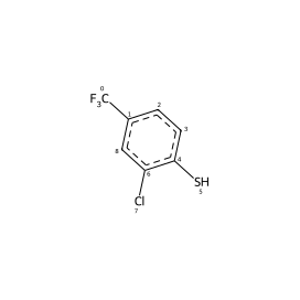 FC(F)(F)c1ccc(S)c(Cl)c1